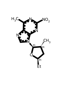 CC[C@@H]1C[C@@H](C)[C@H](n2cnc3c(C)nc([N+](=O)[O-])nc32)O1